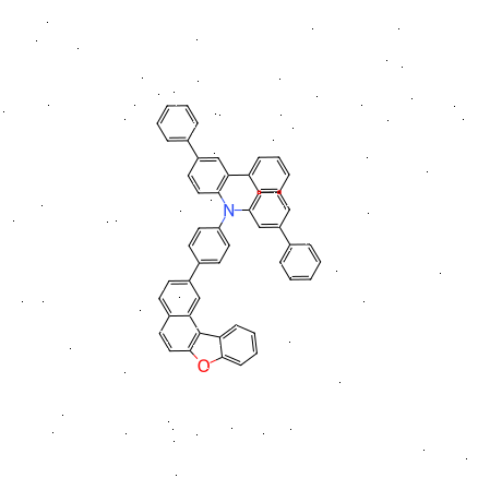 c1ccc(-c2cccc(N(c3ccc(-c4ccc5ccc6oc7ccccc7c6c5c4)cc3)c3ccc(-c4ccccc4)cc3-c3ccccc3)c2)cc1